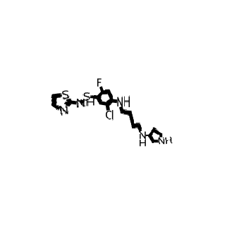 Fc1cc(NCCCCN[C@H]2CCNC2)c(Cl)cc1SNc1nccs1